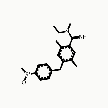 CCN(C)C(=N)c1cc(C)c(Cc2ccc([S+](C)[O-])cc2)cc1C